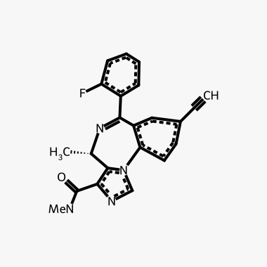 C#Cc1ccc2c(c1)C(c1ccccc1F)=N[C@@H](C)c1c(C(=O)NC)ncn1-2